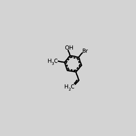 C=Cc1cc(C)c(O)c(Br)c1